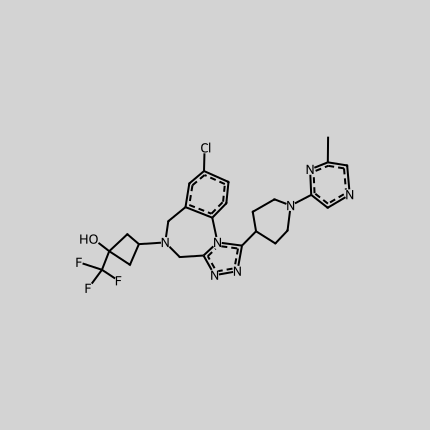 Cc1cncc(N2CCC(c3nnc4n3-c3ccc(Cl)cc3CN(C3CC(O)(C(F)(F)F)C3)C4)CC2)n1